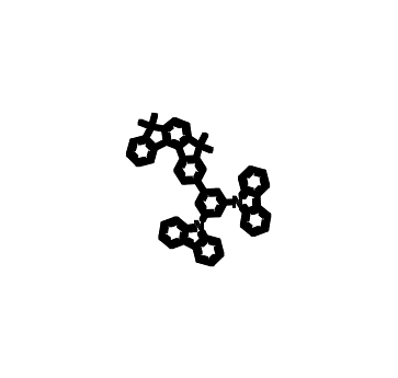 CC1(C)c2ccccc2-c2c1ccc1c2-c2ccc(-c3cc(-n4c5ccccc5c5ccccc54)cc(-n4c5ccccc5c5ccccc54)c3)cc2C1(C)C